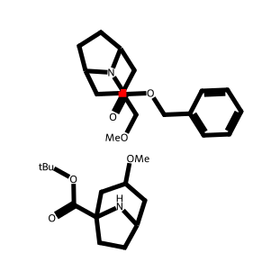 COC1CC2CCC(C(=O)OC(C)(C)C)(C1)N2.COCC1CC2CCC(C1)N2C(=O)OCc1ccccc1